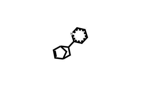 C1=CC2C[C]1[C](c1ccccn1)C2